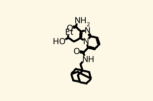 CCC(O)Cc1c(C(N)=O)nc2cccc(C(=O)NCC34CC5CC(CC(C5)C3)C4)n12